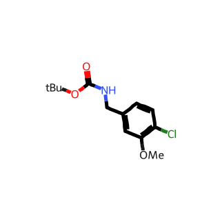 COc1cc(CNC(=O)OC(C)(C)C)ccc1Cl